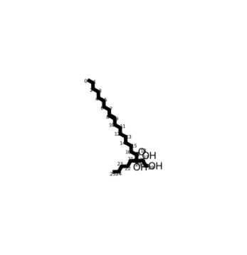 CCCCCCCCC=CCCCCCCCC(=O)C(O)(CCCCC)C(O)CO